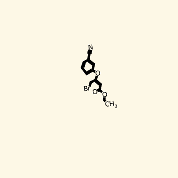 CCOC(=O)/C=C(\CBr)Oc1cccc(C#N)c1